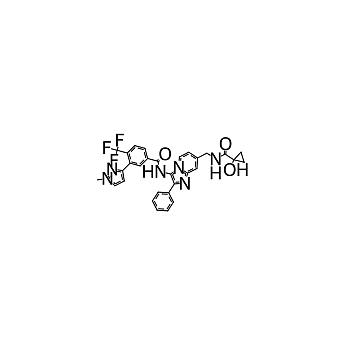 Cn1ccc(-c2cc(C(=O)Nc3c(-c4ccccc4)nc4cc(CNC(=O)C5(O)CC5)ccn34)ccc2C(F)(F)F)n1